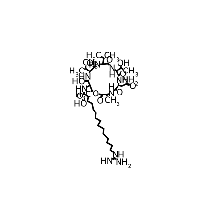 CC1NC(=O)C(CC(N)=O)NC(=O)C(C(C)O)NC(=O)C(C(C)C)NC(=O)C(C(C)C)NC(O)C(NC(=O)CC(O)CCCCCCCCCCCCNC(=N)N)C(C)OC1=O